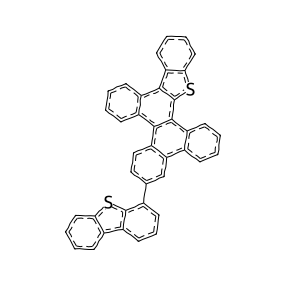 c1ccc2c(c1)sc1c(-c3ccc4c(c3)c3ccccc3c3c5sc6ccccc6c5c5ccccc5c43)cccc12